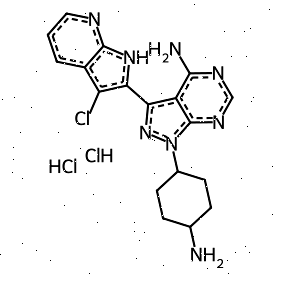 Cl.Cl.Nc1ncnc2c1c(-c1[nH]c3ncccc3c1Cl)nn2C1CCC(N)CC1